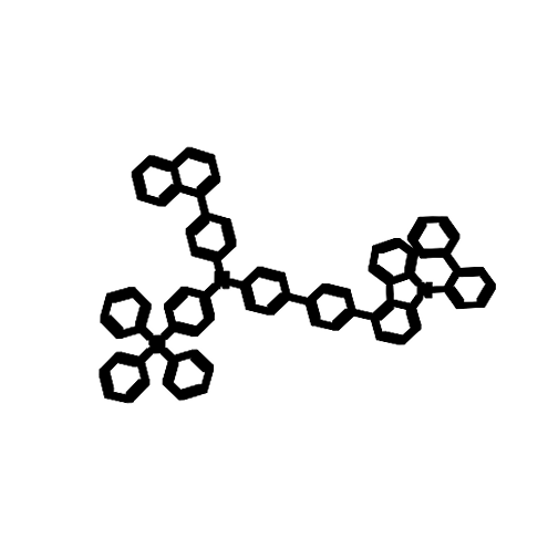 c1ccc(-c2ccccc2-n2c3ccccc3c3c(-c4ccc(-c5ccc(N(c6ccc(-c7cccc8ccccc78)cc6)c6ccc([Si](c7ccccc7)(c7ccccc7)c7ccccc7)cc6)cc5)cc4)cccc32)cc1